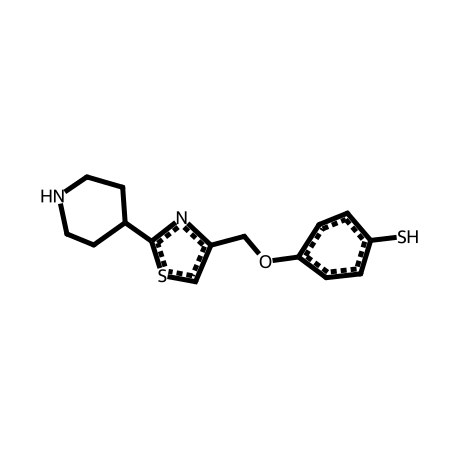 Sc1ccc(OCc2csc(C3CCNCC3)n2)cc1